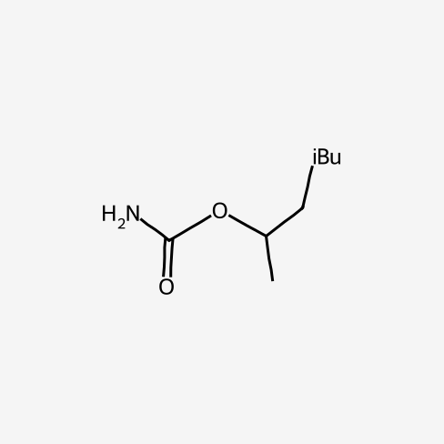 CCC(C)CC(C)OC(N)=O